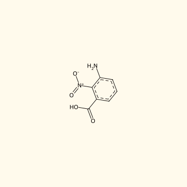 Nc1cccc(C(=O)O)c1[N+](=O)[O-]